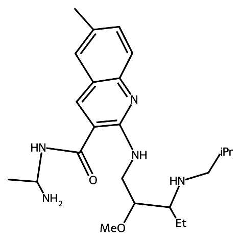 CCC(NCC(C)C)C(CNc1nc2ccc(C)cc2cc1C(=O)NC(C)N)OC